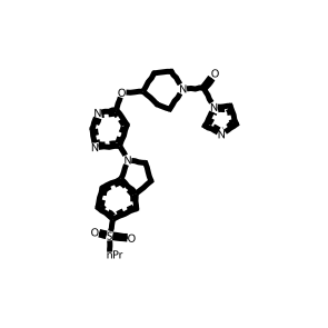 CCCS(=O)(=O)c1ccc2c(c1)CCN2c1cc(OC2CCN(C(=O)n3ccnc3)CC2)ncn1